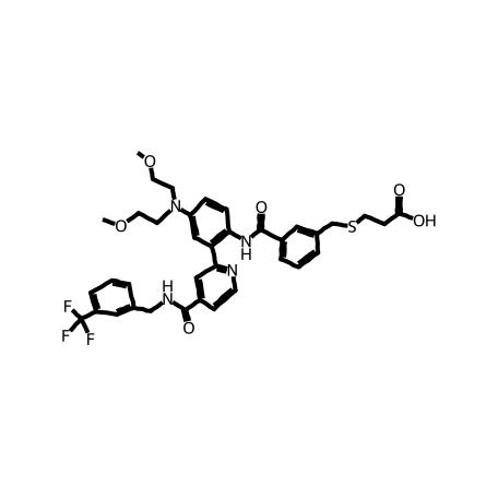 COCCN(CCOC)c1ccc(NC(=O)c2cccc(CSCCC(=O)O)c2)c(-c2cc(C(=O)NCc3cccc(C(F)(F)F)c3)ccn2)c1